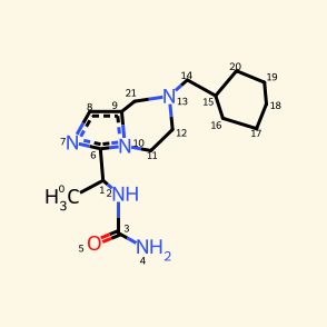 CC(NC(N)=O)c1ncc2n1CCN(CC1CCCCC1)C2